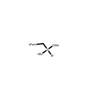 CCCCCC[Si](Br)(CCCC)OC